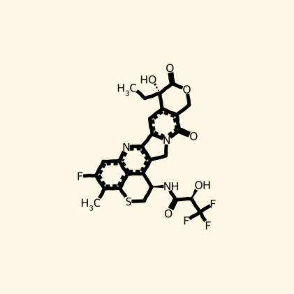 CC[C@@]1(O)C(=O)OCc2c1cc1n(c2=O)Cc2c-1nc1cc(F)c(C)c3c1c2[C@@H](NC(=O)[C@@H](O)C(F)(F)F)CS3